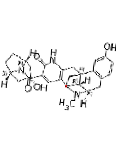 CN1CC[C@]23Cc4[nH]c(=O)c(C(=O)N5[C@@H]6CC[C@H]5C[C@@H](O)C6)cc4C[C@H]2[C@H]1Cc1ccc(O)cc13